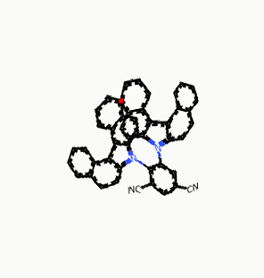 N#Cc1cc(C#N)c(-n2c3ccc4ccccc4c3c3c4ccccc4ccc32)c(-n2c3ccc4ccccc4c3c3c4ccccc4ccc32)c1